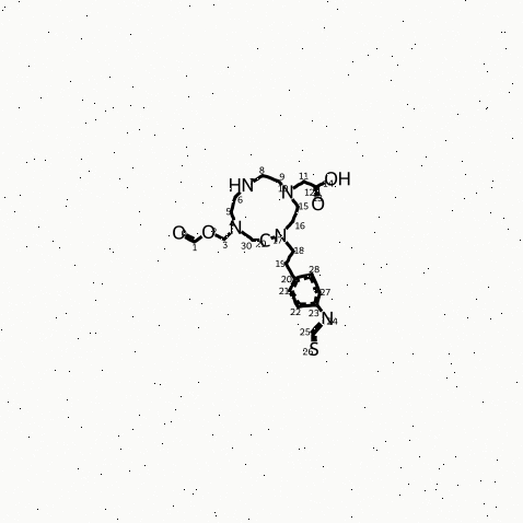 O=COCN1CCNCCN(CC(=O)O)CCN(CCc2ccc(N=C=S)cc2)CC1